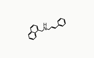 C(=Cc1ccccc1)CNCc1cccc2ccccc12